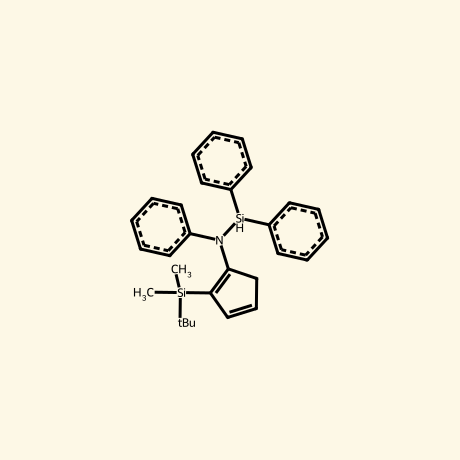 CC(C)(C)[Si](C)(C)C1=C(N(c2ccccc2)[SiH](c2ccccc2)c2ccccc2)CC=C1